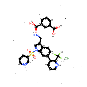 Cl.NCc1cn(S(=O)(=O)c2cccnc2)c2cc(-c3cccnc3C(F)(F)F)ccc12.O=C(O)c1cccc(C(=O)O)c1